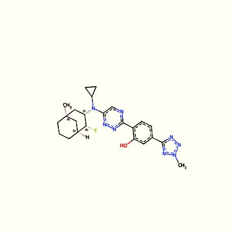 Cn1nnc(-c2ccc(-c3ncc(N(C4CC4)[C@H]4C[C@]5(C)CCC[C@@H](C5)[C@H]4F)nn3)c(O)c2)n1